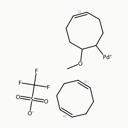 C1=C\CC/C=C\CC/1.COC1CC/C=C\CC[CH]1[Pd+].O=S(=O)([O-])C(F)(F)F